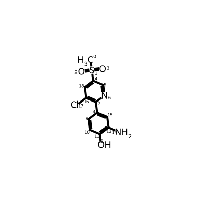 CS(=O)(=O)c1cnc(-c2ccc(O)c(N)c2)c(Cl)c1